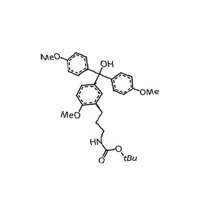 COc1ccc(C(O)(c2ccc(OC)cc2)c2ccc(OC)c(CCCNC(=O)OC(C)(C)C)c2)cc1